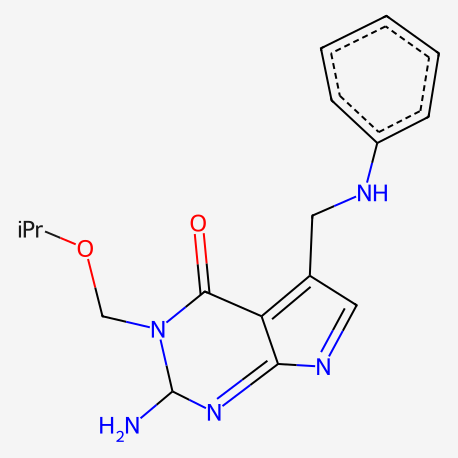 CC(C)OCN1C(=O)C2=C(CNc3ccccc3)C=NC2=NC1N